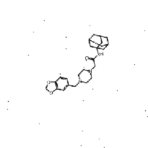 O=C(CN1CCN(Cc2ccc3c(c2)OCO3)CC1)NC12CC3CC(CC(C3)C1)C2